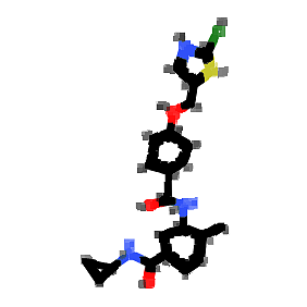 Cc1ccc(C(=O)NC2CC2)cc1NC(=O)c1ccc(OCc2cnc(Cl)s2)cc1